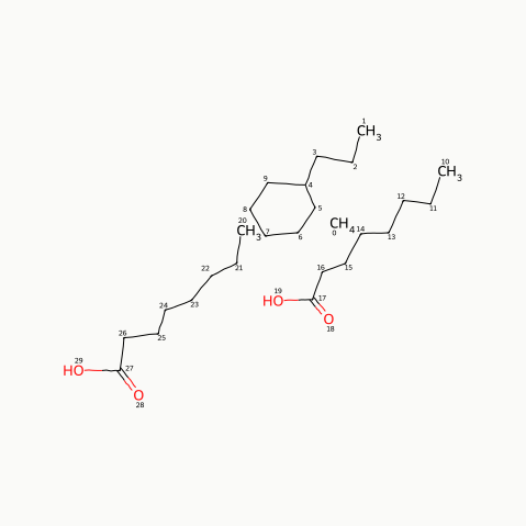 C.CCCC1CCCCC1.CCCCCCCC(=O)O.CCCCCCCC(=O)O